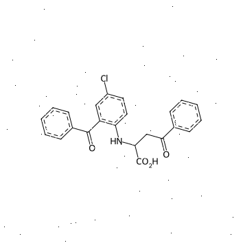 O=C(CC(Nc1ccc(Cl)cc1C(=O)c1ccccc1)C(=O)O)c1ccccc1